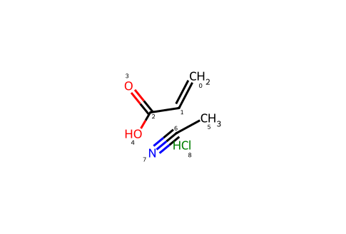 C=CC(=O)O.CC#N.Cl